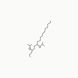 [CH2]CCC(CCC(CCCCCCCCCCC)OC(C)C)OC(C)C